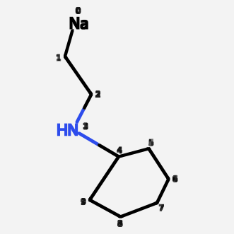 [Na][CH2]CNC1CCCCC1